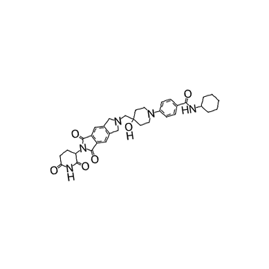 O=C1CCC(N2C(=O)c3cc4c(cc3C2=O)CN(CC2(O)CCN(c3ccc(C(=O)NC5CCCCC5)cc3)CC2)C4)C(=O)N1